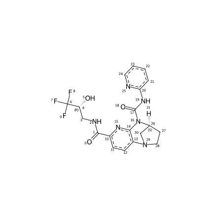 O=C(NC[C@@H](O)C(F)(F)F)c1ccc2c(n1)N(C(=O)Nc1ccccn1)[C@H]1CCN2C1